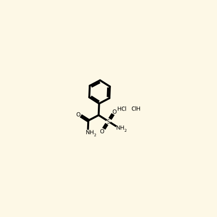 Cl.Cl.NC(=O)C(c1ccccc1)S(N)(=O)=O